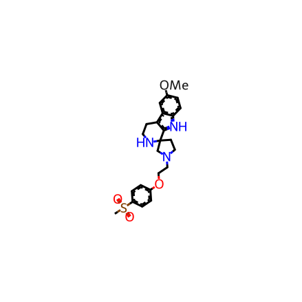 COc1ccc2[nH]c3c(c2c1)CCNC31CCN(CCOc2ccc(S(C)(=O)=O)cc2)C1